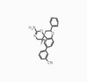 N#Cc1cccc(-c2ccc3c(c2)[C@@]2(CC(c4ccccc4)O3)OC(N)=NCC2(F)F)c1